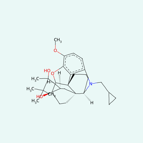 COc1ccc2c3c1O[C@@H]1[C@@]4(O)CC[C@@]5(C[C@@H]4C(C)(O)C(C)(C)C)[C@@H](C2)N(CC2CC2)CC[C@]315